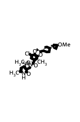 COC1CN([C@H]2CC[C@@H]([C@H]3COc4c(Cl)cc(C(=O)NCc5c([S+](C)[O-])cc(C)[nH]c5=O)c(C)c4O3)CC2)C1